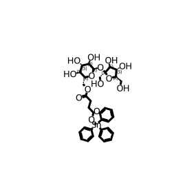 O=C(CCC(=O)[O][Sn]([c]1ccccc1)([c]1ccccc1)[c]1ccccc1)OC[C@H]1O[C@H](O[C@]2(CO)O[C@H](CO)[C@@H](O)[C@@H]2O)[C@H](O)[C@@H](O)[C@@H]1O